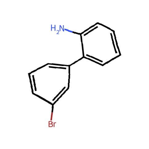 Nc1ccccc1-c1cccc(Br)c1